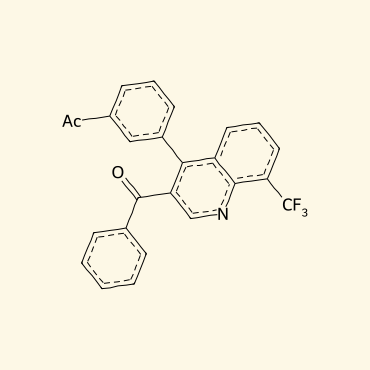 CC(=O)c1cccc(-c2c(C(=O)c3ccccc3)cnc3c(C(F)(F)F)cccc23)c1